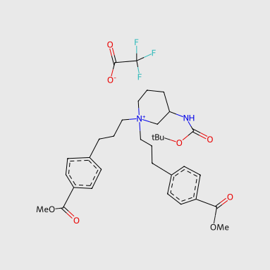 COC(=O)c1ccc(CCC[N+]2(CCCc3ccc(C(=O)OC)cc3)CCCC(NC(=O)OC(C)(C)C)C2)cc1.O=C([O-])C(F)(F)F